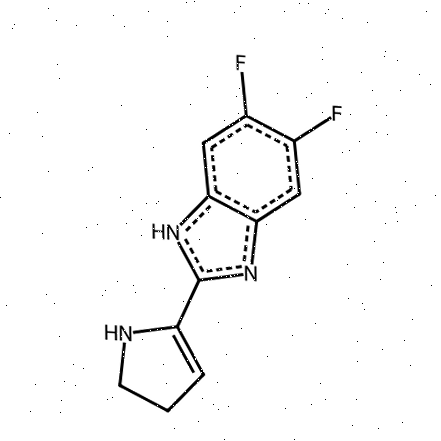 Fc1cc2nc(C3=CCCN3)[nH]c2cc1F